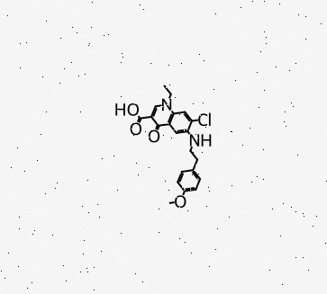 CCn1cc(C(=O)O)c(=O)c2cc(NCCc3ccc(OC)cc3)c(Cl)cc21